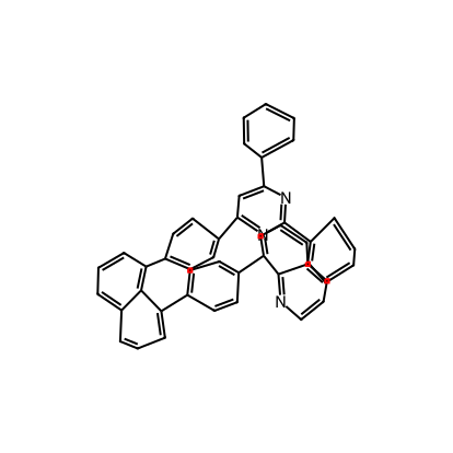 c1ccc(-c2cc(-c3ccc(-c4cccc5cccc(-c6ccc(-c7cccc8cccnc78)cc6)c45)cc3)nc(-c3ccccc3)n2)cc1